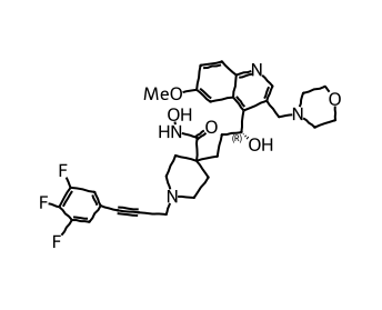 COc1ccc2ncc(CN3CCOCC3)c([C@H](O)CCC3(C(=O)NO)CCN(CC#Cc4cc(F)c(F)c(F)c4)CC3)c2c1